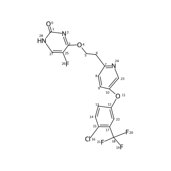 O=c1nc(OCCc2ccc(Oc3ccc(Cl)c(C(F)(F)F)c3)cn2)c(F)c[nH]1